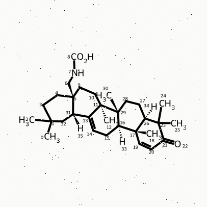 CC1(C)CC[C@]2(CNC(=O)O)CC[C@]3(C)C(=CC[C@@H]4[C@@]5(C)C=CC(=O)C(C)(C)[C@@H]5CC[C@]43C)[C@@H]2C1